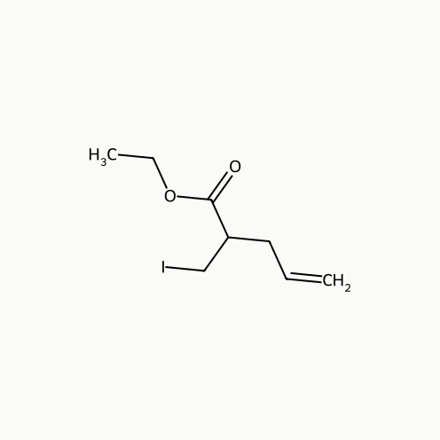 C=CCC(CI)C(=O)OCC